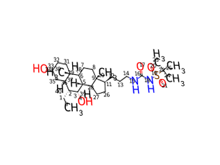 CC[C@H]1[C@@H](O)[C@@H]2[C@H](CC[C@]3(C)[C@@H](CCCNC(=O)NS(=O)(=O)C(C)(C)C)CC[C@@H]23)[C@@]2(C)CC[C@@H](O)C[C@@H]12